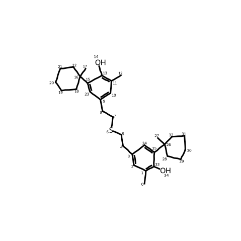 Cc1cc(CCSCCc2cc(C)c(O)c(C3(C)CCCCC3)c2)cc(C2(C)CCCCC2)c1O